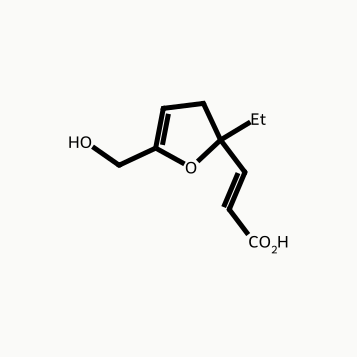 CCC1(C=CC(=O)O)CC=C(CO)O1